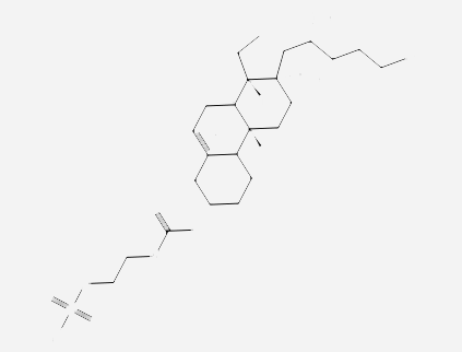 CC(C)CCC[C@@H](C)[C@H]1CC[C@H]2[C@@H]3CC=C4C[C@@H](OC(=O)NCCOS(C)(=O)=O)CC[C@]4(C)[C@H]3CC[C@]12C